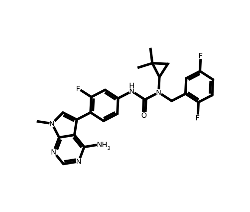 Cn1cc(-c2ccc(NC(=O)N(Cc3cc(F)ccc3F)C3CC3(C)C)cc2F)c2c(N)ncnc21